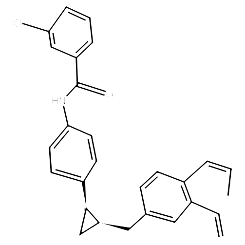 C=Cc1cc(C[C@H]2C[C@H]2c2ccc(NC(=O)c3cccc(Cl)c3)cc2)ccc1/C=C\C